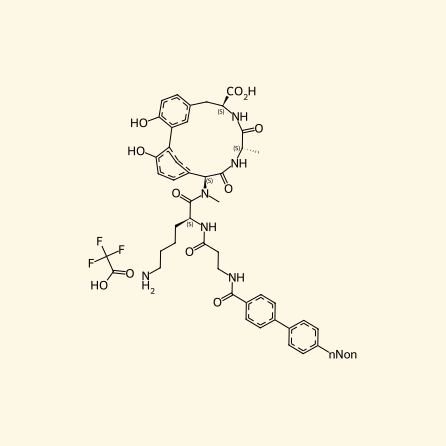 CCCCCCCCCc1ccc(-c2ccc(C(=O)NCCC(=O)N[C@@H](CCCCN)C(=O)N(C)[C@@H]3C(=O)N[C@@H](C)C(=O)N[C@H](C(=O)O)Cc4ccc(O)c(c4)-c4cc3ccc4O)cc2)cc1.O=C(O)C(F)(F)F